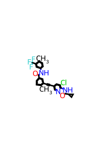 Cc1ccc(C(=O)Nc2ccc(C)c(C(F)(F)F)c2)cc1C#Cc1cnc(NC(=O)C2CC2)c(Cl)c1